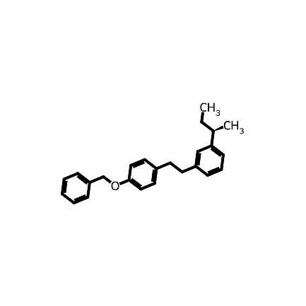 CC[C@@H](C)c1cccc(CCc2ccc(OCc3ccccc3)cc2)c1